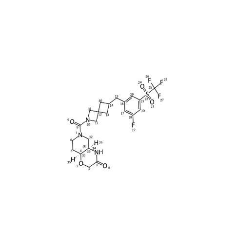 O=C1CO[C@H]2CCN(C(=O)N3CC4(CC(Cc5cc(F)cc(S(=O)(=O)C(F)(F)F)c5)C4)C3)C[C@H]2N1